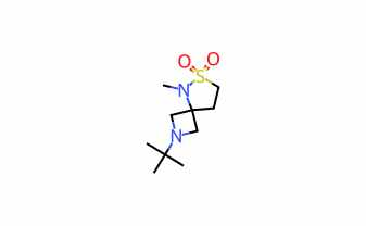 CN1C2(CCS1(=O)=O)CN(C(C)(C)C)C2